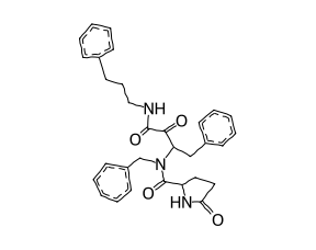 O=C1CCC(C(=O)N(Cc2ccccc2)C(Cc2ccccc2)C(=O)C(=O)NCCCc2ccccc2)N1